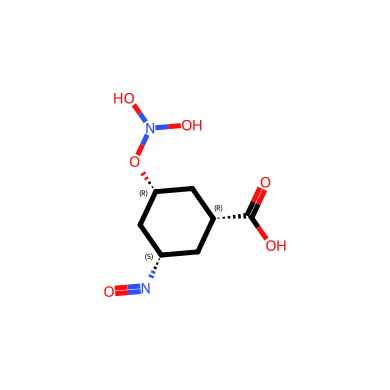 O=N[C@@H]1C[C@H](ON(O)O)C[C@H](C(=O)O)C1